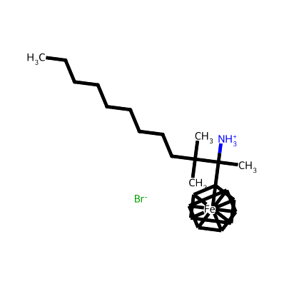 CCCCCCCCCC(C)(C)C(C)([NH3+])[C]12[CH]3[CH]4[CH]5[CH]1[Fe]45321678[CH]2[CH]1[CH]6[CH]7[CH]28.[Br-]